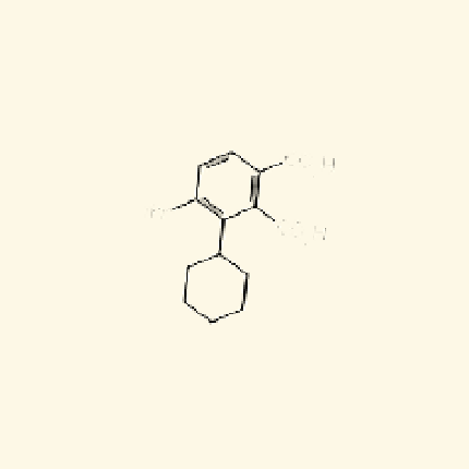 CC(C)c1ccc(C(=O)O)c(C(=O)O)c1C1CCCCC1